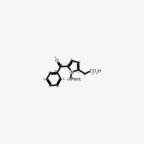 CCCCCn1c(CC(=O)O)ccc1C(=O)c1ccccc1